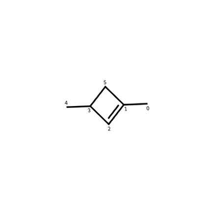 CC1=CC(C)C1